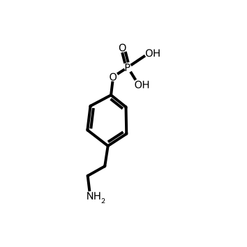 NCCc1ccc(OP(=O)(O)O)cc1